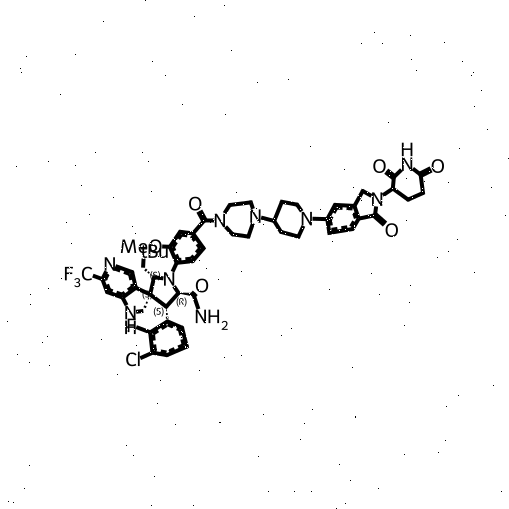 COc1cc(C(=O)N2CCN(C3CCN(c4ccc5c(c4)CN(C4CCC(=O)NC4=O)C5=O)CC3)CC2)ccc1N1[C@@H](CC(C)(C)C)[C@@]2(CNc3cc(C(F)(F)F)ncc32)[C@@H](c2cccc(Cl)c2F)[C@@H]1C(N)=O